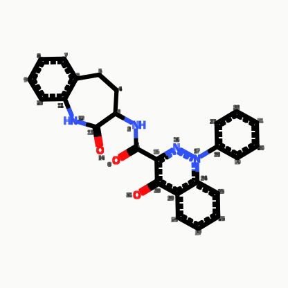 O=C(NC1CCc2ccccc2NC1=O)c1nn(-c2ccccc2)c2ccccc2c1=O